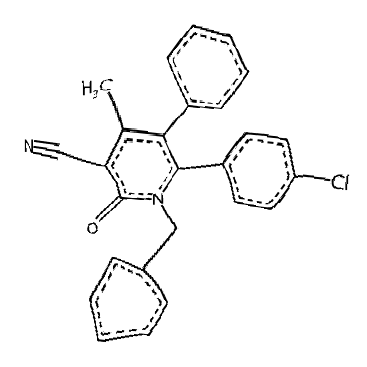 Cc1c(-c2ccccc2)c(-c2ccc(Cl)cc2)n(Cc2ccccc2)c(=O)c1C#N